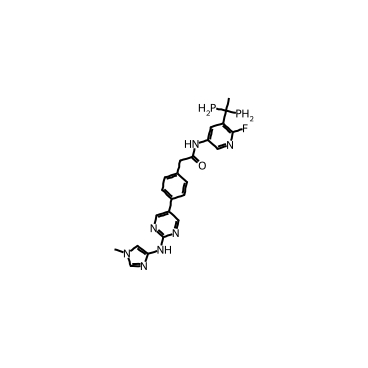 Cn1cnc(Nc2ncc(-c3ccc(CC(=O)Nc4cnc(F)c(C(C)(P)P)c4)cc3)cn2)c1